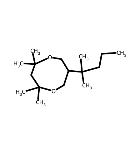 CCCC(C)(C)C1COC(C)(C)CC(C)(C)OC1